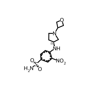 NS(=O)(=O)c1ccc(N[C@H]2CCN(C3COC3)C2)c([N+](=O)[O-])c1